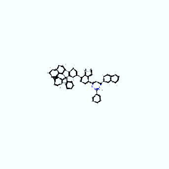 c1ccc(-c2nc(-c3ccc4ccccc4c3)cc(-c3ccc(-c4ccc5c(c4)C(c4ccccc4)(c4ccccc4)c4c-5ccc5ccccc45)c4ccccc34)n2)cc1